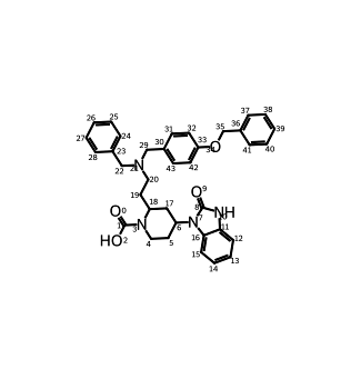 O=C(O)N1CCC(n2c(=O)[nH]c3ccccc32)CC1CCN(Cc1ccccc1)Cc1ccc(OCc2ccccc2)cc1